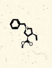 CC[C@@H]1CN(Cc2ccccc2)C[C@@H]1C(=O)OC